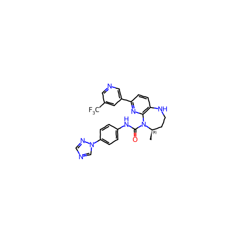 C[C@@H]1CCNc2ccc(-c3cncc(C(F)(F)F)c3)nc2N1C(=O)Nc1ccc(-n2cncn2)cc1